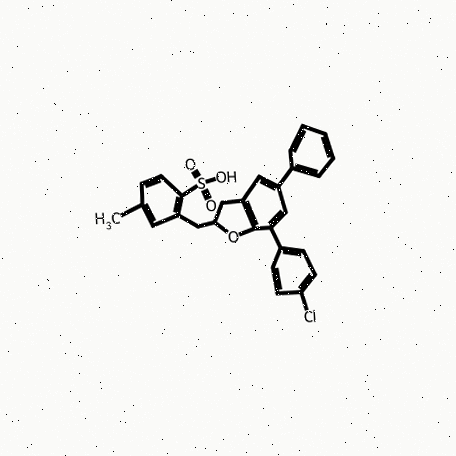 Cc1ccc(S(=O)(=O)O)c(CC2Cc3cc(-c4ccccc4)cc(-c4ccc(Cl)cc4)c3O2)c1